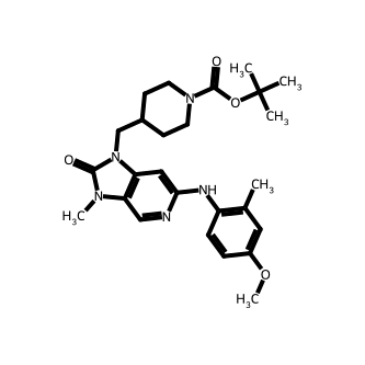 COc1ccc(Nc2cc3c(cn2)n(C)c(=O)n3CC2CCN(C(=O)OC(C)(C)C)CC2)c(C)c1